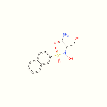 NC(=O)C(CO)N(O)S(=O)(=O)c1ccc2ccccc2c1